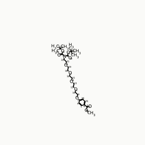 COC(=O)c1ccc(OCCOCCOCCOCCOCCN(C(=O)OC(C)(C)C)C(=O)OC(C)(C)C)cc1